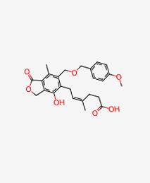 COc1ccc(COCc2c(C)c3c(c(O)c2CC=C(C)CCC(=O)O)COC3=O)cc1